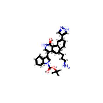 CC(C)(C)OC(=O)n1cc(-c2c[nH]c(=O)c3c2cc(CCCN)c2ccc(-c4cn[nH]c4)cc23)c2ccccc21